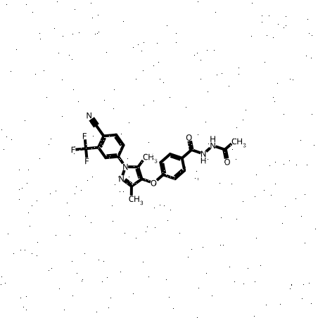 CC(=O)NNC(=O)c1ccc(Oc2c(C)nn(-c3ccc(C#N)c(C(F)(F)F)c3)c2C)cc1